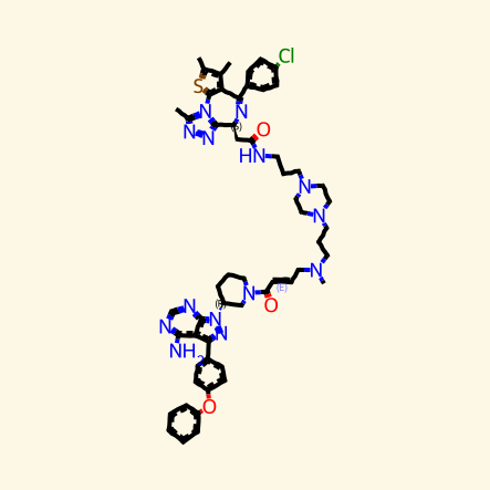 Cc1sc2c(c1C)C(c1ccc(Cl)cc1)=N[C@@H](CC(=O)NCCCN1CCN(CCCN(C)C/C=C/C(=O)N3CCC[C@@H](n4nc(-c5ccc(Oc6ccccc6)cc5)c5c(N)ncnc54)C3)CC1)c1nnc(C)n1-2